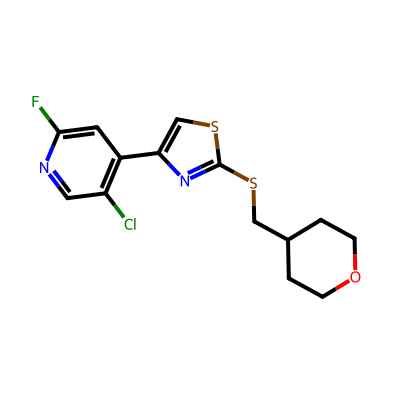 Fc1cc(-c2csc(SCC3CCOCC3)n2)c(Cl)cn1